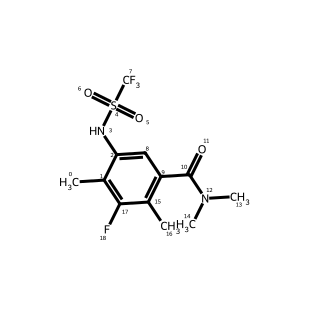 Cc1c(NS(=O)(=O)C(F)(F)F)cc(C(=O)N(C)C)c(C)c1F